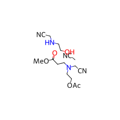 CC#N.COC(=O)CCN(CC#N)CCOC(C)=O.N#CCNCCO